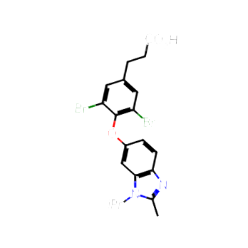 Cc1nc2ccc(Oc3c(Br)cc(CCC(=O)O)cc3Br)cc2n1C(C)C